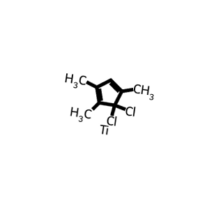 CC1=CC(C)=C(C)C1(Cl)Cl.[Ti]